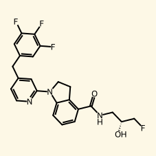 O=C(NC[C@@H](O)CF)c1cccc2c1CCN2c1cc(Cc2cc(F)c(F)c(F)c2)ccn1